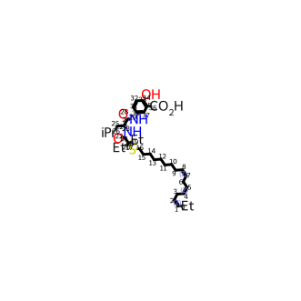 CC/C=C\C/C=C\C/C=C\CCCCCCCCSC(CC)(CC)C(=O)NC(CC(C)C)C(=O)Nc1ccc(O)c(C(=O)O)c1